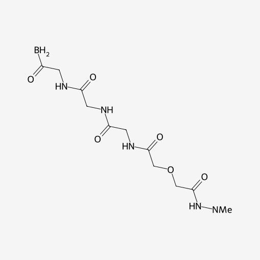 BC(=O)CNC(=O)CNC(=O)CNC(=O)COCC(=O)NNC